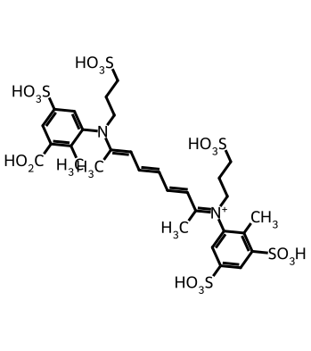 C\C(=C/C=C/C=C/C(C)=[N+](\CCCS(=O)(=O)O)c1cc(S(=O)(=O)O)cc(S(=O)(=O)O)c1C)N(CCCS(=O)(=O)O)c1cc(S(=O)(=O)O)cc(C(=O)O)c1C